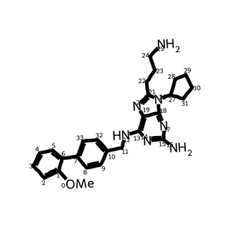 COc1ccccc1-c1ccc(CNc2nc(N)nc3c2nc(CCCN)n3C2CCCC2)cc1